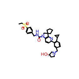 CCS(=O)(=O)c1ccc(CNC(=O)N2CC3(CCCC3)c3nc(-c4cc(CN5CC[C@H](O)C5)ccc4C4CC4)ccc32)cc1